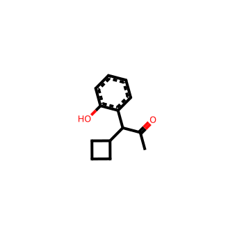 CC(=O)C(c1ccccc1O)C1CCC1